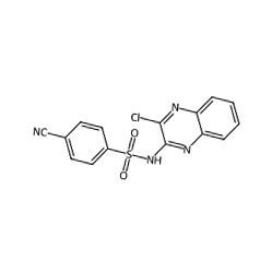 N#Cc1ccc(S(=O)(=O)Nc2nc3ccccc3nc2Cl)cc1